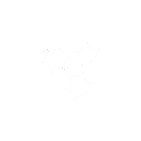 c1ccc(N2CCNCC2)cc1.c1ccsc1